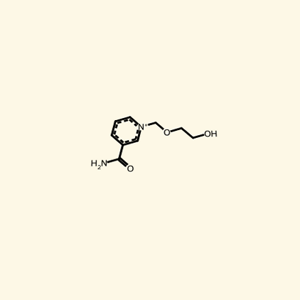 NC(=O)c1ccc[n+](COCCO)c1